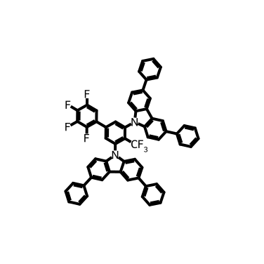 Fc1cc(-c2cc(-n3c4ccc(-c5ccccc5)cc4c4cc(-c5ccccc5)ccc43)c(C(F)(F)F)c(-n3c4ccc(-c5ccccc5)cc4c4cc(-c5ccccc5)ccc43)c2)c(F)c(F)c1F